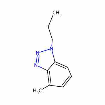 CCCn1nnc2c(C)cccc21